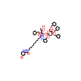 CC[C@@H](O)[C@@H](OCc1ccccc1)[C@H](CO[C@H]1OC(COCc2ccccc2)[C@H](OCc2ccccc2)C(OCc2ccccc2)CC1OCc1ccccc1)NC(=O)CCCCCCCCCCCNC(=O)c1cccc(OC)c1